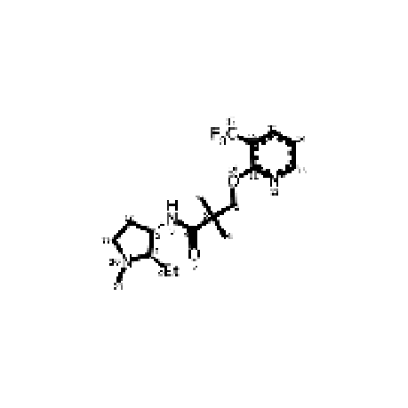 CC[C@@H]1[C@@H](NC(=O)C(C)(C)COc2ncccc2C(F)(F)F)CCN1C